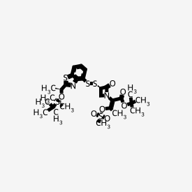 CC(OS(C)(=O)=O)=C(C(=O)OC(C)(C)C)N1C[C@H](SSc2cccc3sc([C@@H](C)O[Si](C)(C)C(C)(C)C)nc23)C1=O